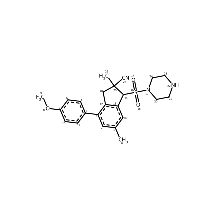 Cc1cc(-c2ccc(OC(F)(F)F)cc2)c2c(c1)C(S(=O)(=O)N1CCNCC1)C(C)(C#N)C2